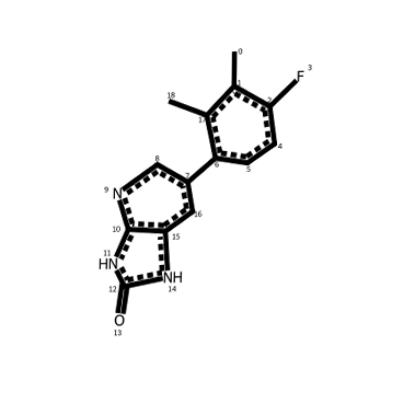 Cc1c(F)ccc(-c2cnc3[nH]c(=O)[nH]c3c2)c1C